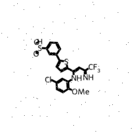 COc1ccc(Cl)cc1N/C(=C\C(=N)C(F)(F)F)c1ccc(-c2cccc([SH](=O)=O)c2)s1